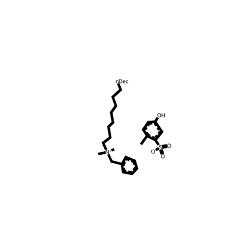 CCCCCCCCCCCCCCCCCC[N+](C)(C)Cc1ccccc1.Cc1ccc(O)cc1S(=O)(=O)[O-]